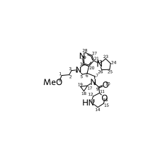 COCCCN1CC(CN(C(=O)C2CNCCO2)C2CC2)c2c(N3CCCC3)ccnc21